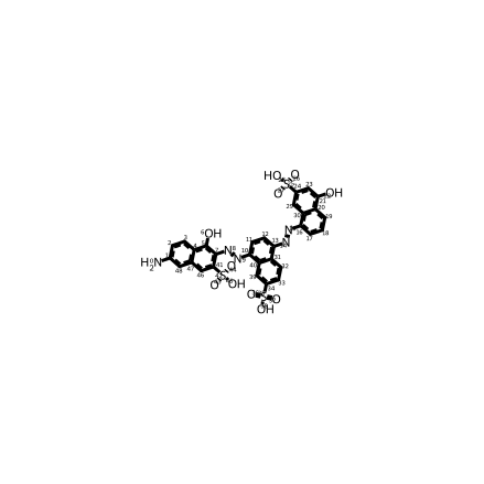 Nc1ccc2c(O)c(N=Nc3ccc(N=Nc4cccc5c(O)cc(S(=O)(=O)O)cc45)c4ccc(S(=O)(=O)O)cc34)c(S(=O)(=O)O)cc2c1